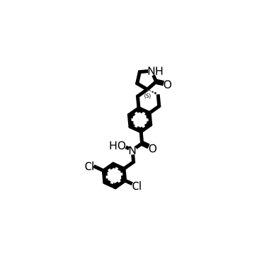 O=C(c1ccc2c(c1)CC[C@@]1(CCNC1=O)C2)N(O)Cc1cc(Cl)ccc1Cl